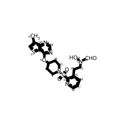 Cc1csc2c(OC3CCN(S(=O)(=O)c4ncccc4CCN(O)C=O)CC3)ncnc12